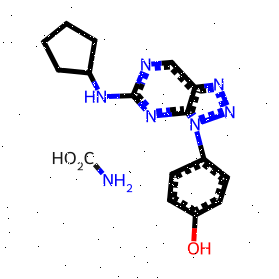 NC(=O)O.Oc1ccc(-n2nnc3cnc(NC4CCCC4)nc32)cc1